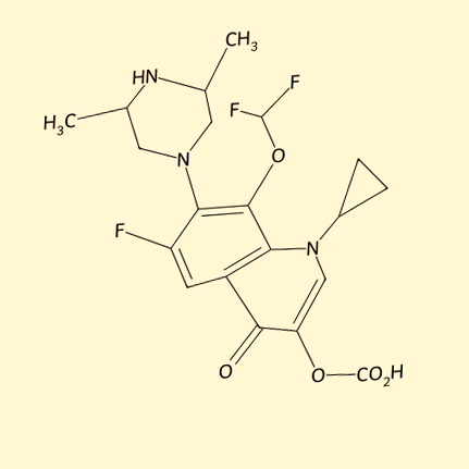 CC1CN(c2c(F)cc3c(=O)c(OC(=O)O)cn(C4CC4)c3c2OC(F)F)CC(C)N1